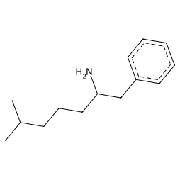 CC(C)CCCC(N)Cc1ccccc1